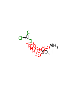 O.O.O.O.O.O.O=S(=O)(O)O.[AlH3].[Cl][Al]([Cl])[Cl]